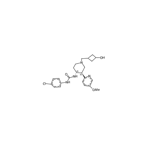 COc1ccc([C@@H]2CN(CC3CC(O)C3)CC[C@H]2NC(=O)Nc2ccc(Cl)cc2)nc1